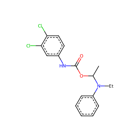 CCN(c1ccccc1)C(C)OC(=O)Nc1ccc(Cl)c(Cl)c1